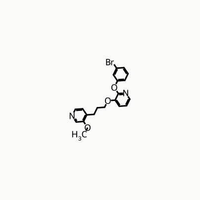 COc1cnccc1CCCOc1cccnc1Oc1cccc(Br)c1